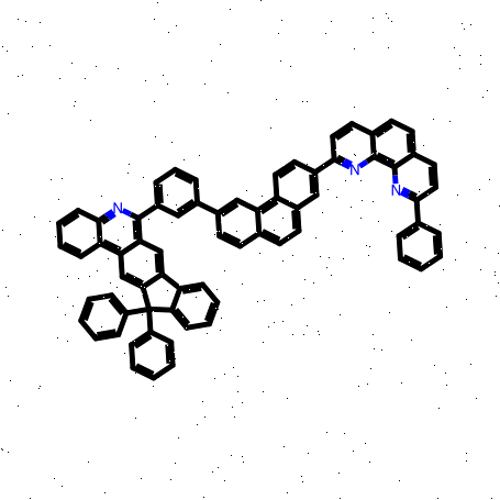 c1ccc(-c2ccc3ccc4ccc(-c5ccc6c(ccc7ccc(-c8cccc(-c9nc%10ccccc%10c%10cc%11c(cc9%10)-c9ccccc9C%11(c9ccccc9)c9ccccc9)c8)cc76)c5)nc4c3n2)cc1